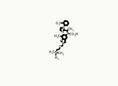 Cc1cc(N(C(=O)O)C(C)c2nccn2-c2ccccc2[N+](=O)[O-])cc2cn(COCC[Si](C)(C)C)nc12